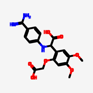 COc1cc(OCC(=O)O)c(C(Nc2ccc(C(=N)N)cc2)C(=O)O)cc1OC